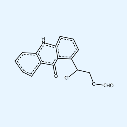 O=COCC(Cl)c1cccc2[nH]c3ccccc3c(=O)c12